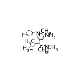 C=C(CNC)/C(C1=CN(Cc2ccc(F)cc2)C(=C)C(N)=C1)=C(/C)CC